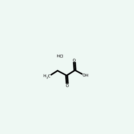 CCC(=O)C(=O)O.Cl